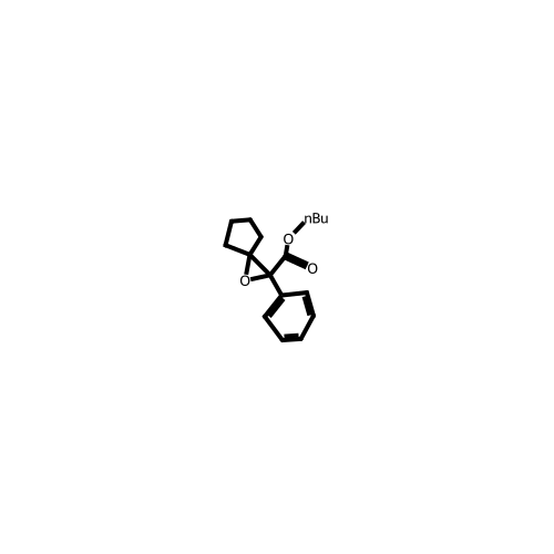 CCCCOC(=O)C1(c2ccccc2)OC12CCCC2